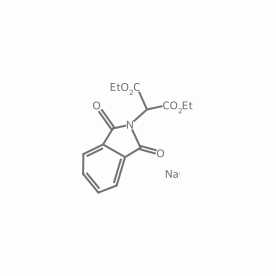 CCOC(=O)C(C(=O)OCC)N1C(=O)c2ccccc2C1=O.[Na]